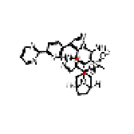 CS(=O)(=O)c1c([C@@H]2C[C@H]3CC[C@@H](C2)N3C(=O)c2cn[nH]n2)nc2c(-c3ccc(-c4ncccn4)nc3)cnn2c1N